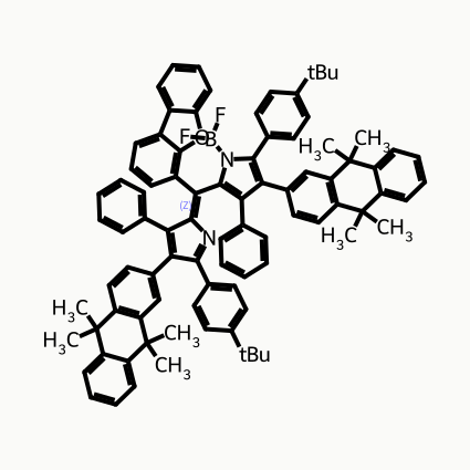 CC(C)(C)c1ccc(C2=N/C(=C(/c3cccc4c3oc3ccccc34)c3c(-c4ccccc4)c(-c4ccc5c(c4)C(C)(C)c4ccccc4C5(C)C)c(-c4ccc(C(C)(C)C)cc4)n3B(F)F)C(c3ccccc3)=C2c2ccc3c(c2)C(C)(C)c2ccccc2C3(C)C)cc1